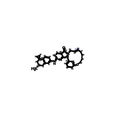 CN1Cc2cc(Nc3ncc4c(=O)n5n(c4n3)-c3cccc(n3)OCCCC/C=C/C5)ccc2C2(CC2)C1